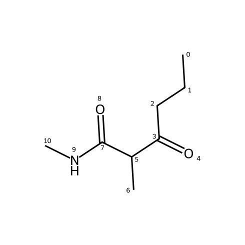 CCCC(=O)C(C)C(=O)NC